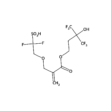 C=C(COCC(F)(F)S(=O)(=O)O)C(=O)OCCC(O)(C(F)(F)F)C(F)(F)F